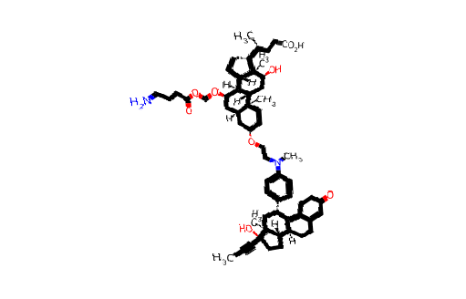 CC#C[C@@]1(O)CC[C@H]2[C@@H]3CCC4=CC(=O)CCC4=C3[C@@H](c3ccc(N(C)CCO[C@H]4CC[C@@]5(C)[C@@H](C4)C[C@@H](OCOC(=O)CCCN)[C@@H]4[C@@H]5C[C@H](O)[C@]5(C)[C@@H]([C@H](C)CCC(=O)O)CC[C@@H]45)cc3)C[C@@]21C